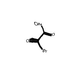 CC(C)C(=O)C(=O)N=O